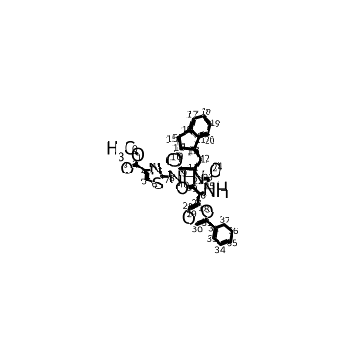 COC(=O)c1csc(NC(=O)C(CC2CCc3ccccc32)N2C(=O)NC(C3=COC=C(C4=CC=CCC4)O3)C2=O)n1